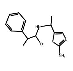 CCC(NC(C)c1cnc(N)s1)C(C)c1ccccc1